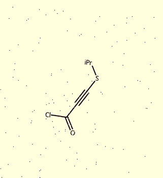 CC(C)SC#CC(=O)Cl